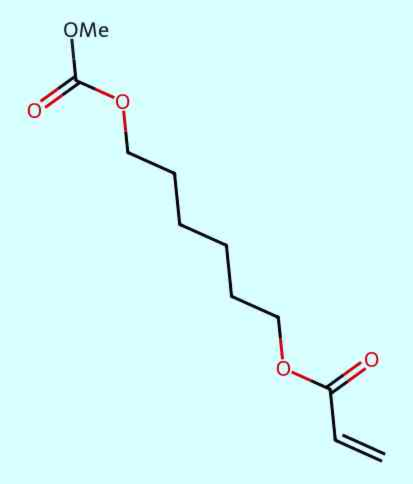 C=CC(=O)OCCCCCCOC(=O)OC